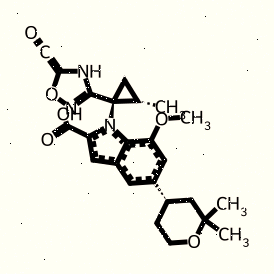 COc1cc([C@H]2CCOC(C)(C)C2)cc2cc(C(=O)O)n([C@@]3(C4=NOC(=C=O)N4)C[C@@H]3C)c12